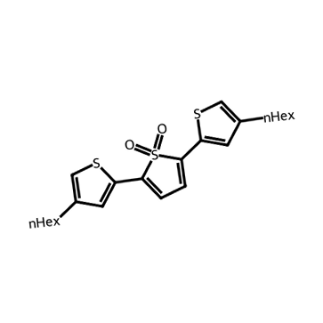 CCCCCCc1csc(C2=CC=C(c3cc(CCCCCC)cs3)S2(=O)=O)c1